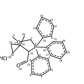 COCP(c1ccccc1)(c1ccccc1)(c1ccccc1)C(C=O)C1(C)CC1.Cl